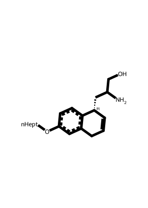 CCCCCCCOc1ccc2c(c1)CC=C[C@H]2CC(N)CO